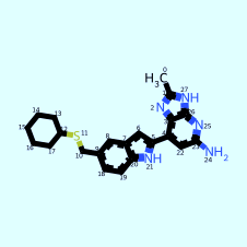 Cc1nc2c(-c3cc4cc(CSC5CCCCC5)ccc4[nH]3)cc(N)nc2[nH]1